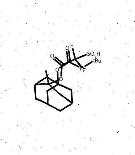 CC(C)(C)OC(=O)OC12CC3CC(C1)C(C)(OC(=O)C(F)(F)S(=O)(=O)O)C(C3)C2